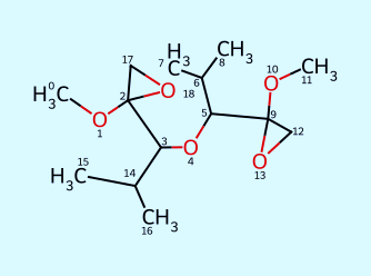 COC1(C(OC(C(C)C)C2(OC)CO2)C(C)C)CO1